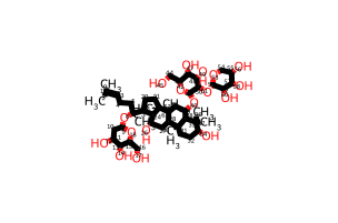 CC(C)=CCC[C@](C)(OC1CC(O)C(O)C(CO)O1)C1CC[C@]2(C)C1C(O)CC1[C@@]3(C)CCC(O)C(C)(C)C3C(OC3OC(CO)C(O)C(O)C3OC3OCC(O)C(O)C3O)C[C@]12C